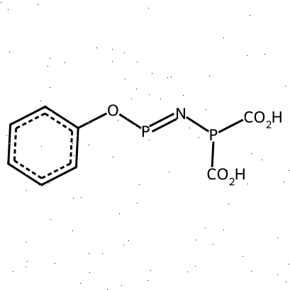 O=C(O)P(N=POc1ccccc1)C(=O)O